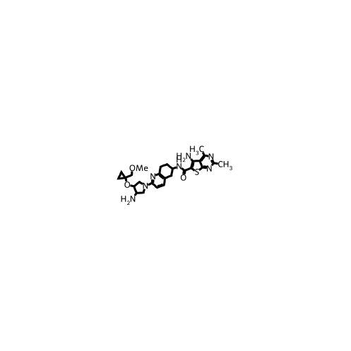 COCC1(OC2CN(c3ccc4c(n3)CCC(NC(=O)c3sc5nc(C)nc(C)c5c3N)C4)CC2N)CC1